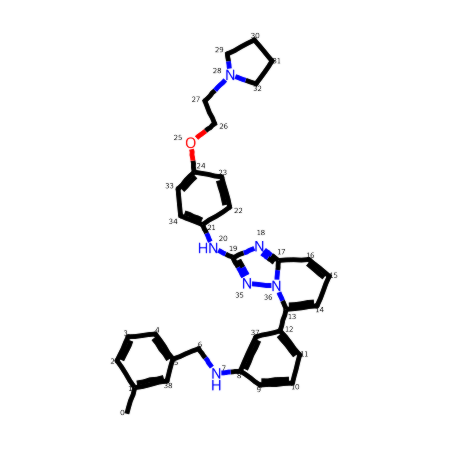 Cc1cccc(CNc2cccc(-c3cccc4nc(Nc5ccc(OCCN6CCCC6)cc5)nn34)c2)c1